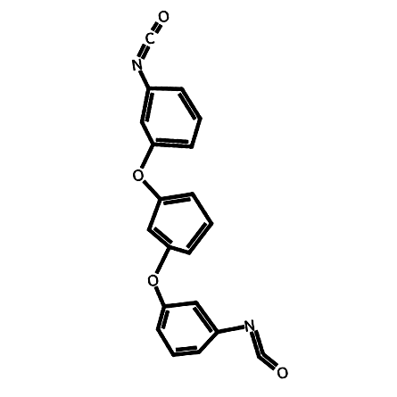 O=C=Nc1cccc(Oc2cccc(Oc3cccc(N=C=O)c3)c2)c1